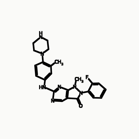 Cc1cc(Nc2ncc3c(=O)n(-c4ccccc4F)n(C)c3n2)ccc1N1CCNCC1